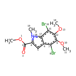 COC(=O)c1cc2c(Br)c(OC)c(OC)c(Br)c2n1C